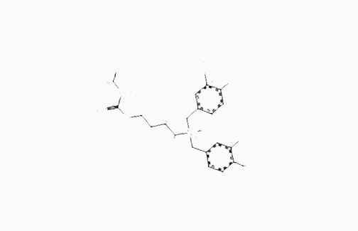 Cc1ccc(C[N+](C)(CCCCOC(=O)OCCl)Cc2ccc(C)c(C)c2)cc1C